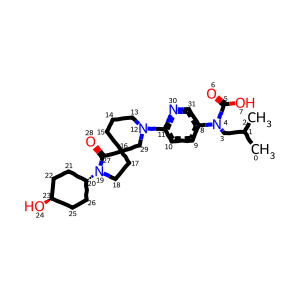 CC(C)CN(C(=O)O)c1ccc(N2CCCC3(CCN([C@H]4CC[C@H](O)CC4)C3=O)C2)nc1